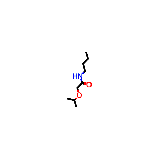 CCCCNC(=O)COC(C)C